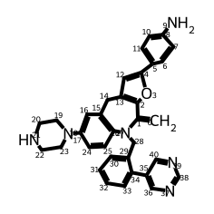 C=C1c2oc(-c3ccc(N)cc3)cc2Cc2cc(N3CCNCC3)ccc2N1Cc1ccccc1-c1cncnc1